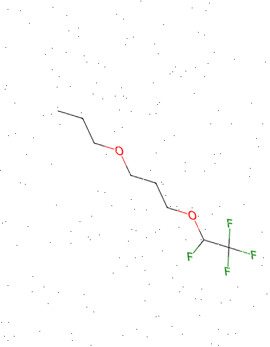 CCCOCCCOC(F)C(F)(F)F